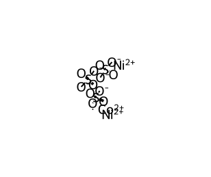 O=S(=O)([O-])[O-].O=S(=O)([O-])[O-].O=S(=O)([O-])[O-].[Co+2].[Ni+2].[Ni+2]